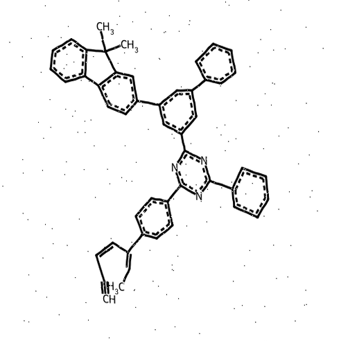 C#C/C=C\C(=C/C)c1ccc(-c2nc(-c3ccccc3)nc(-c3cc(-c4ccccc4)cc(-c4ccc5c(c4)C(C)(C)c4ccccc4-5)c3)n2)cc1